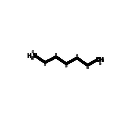 NCCCC[CH]O